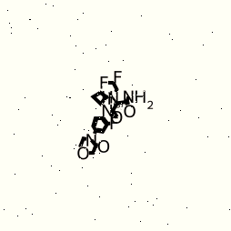 NC(=O)[C@@H](C(=O)Nc1ccc(N2CCOCC2=O)cc1F)N(CC(F)F)C1CCC1